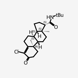 CC(C)(C)NC(=O)[C@H]1CC[C@H]2[C@@H]3CCC4=C(Cl)C(=O)CC[C@]4(C)[C@H]3CC[C@]12C